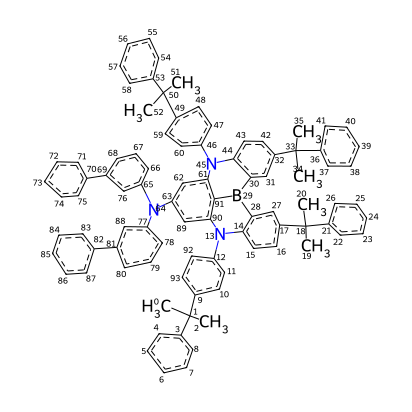 CC(C)(c1ccccc1)c1ccc(N2c3ccc(C(C)(C)c4ccccc4)cc3B3c4cc(C(C)(C)c5ccccc5)ccc4N(c4ccc(C(C)(C)c5ccccc5)cc4)c4cc(N(c5cccc(-c6ccccc6)c5)c5cccc(-c6ccccc6)c5)cc2c43)cc1